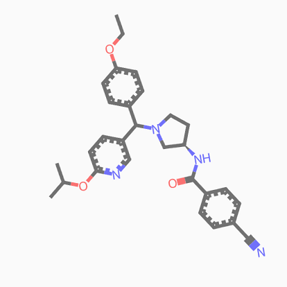 CCOc1ccc(C(c2ccc(OC(C)C)nc2)N2CC[C@@H](NC(=O)c3ccc(C#N)cc3)C2)cc1